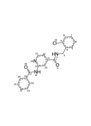 O=C(NCc1ccccc1Cl)c1ccnc(NC(=O)c2ccccc2)c1